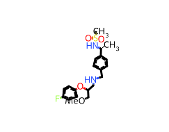 COCC(CNCc1ccc([C@@H](C)NS(C)(=O)=O)cc1)Oc1ccc(F)cc1